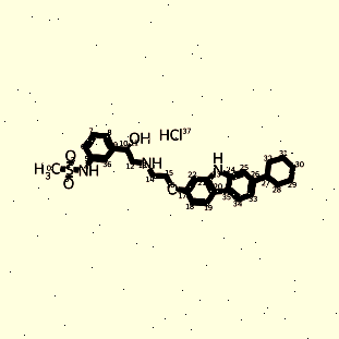 CS(=O)(=O)Nc1cccc([C@@H](O)CNCCOc2ccc3c(c2)[nH]c2cc(C4CCCCC4)ccc23)c1.Cl